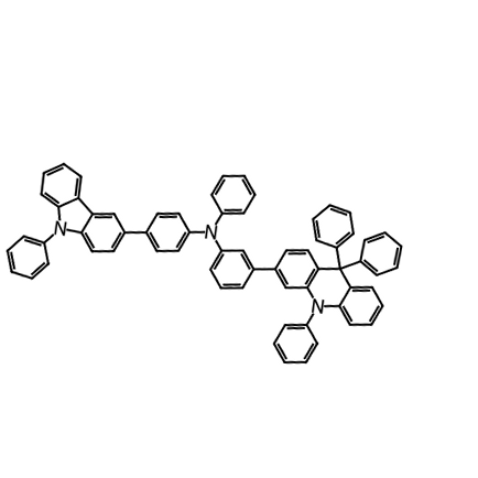 c1ccc(N(c2ccc(-c3ccc4c(c3)c3ccccc3n4-c3ccccc3)cc2)c2cccc(-c3ccc4c(c3)N(c3ccccc3)c3ccccc3C4(c3ccccc3)c3ccccc3)c2)cc1